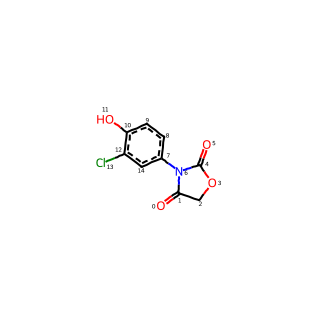 O=C1COC(=O)N1c1ccc(O)c(Cl)c1